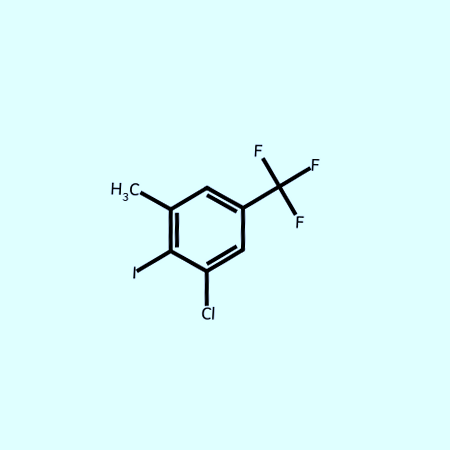 Cc1cc(C(F)(F)F)cc(Cl)c1I